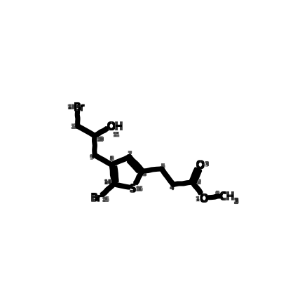 COC(=O)CCc1cc(CC(O)CBr)c(Br)s1